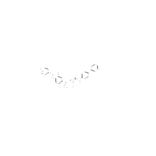 NC(CNC(=O)Nc1ccc(-c2ccccc2)cc1)c1ccc(C(=O)Nc2ccncc2)cc1